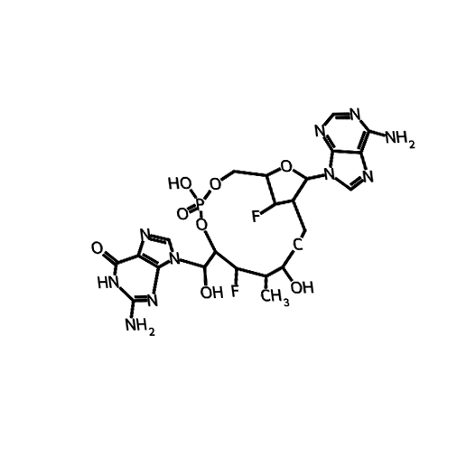 CC1C(O)CCC2C(F)C(COP(=O)(O)OC(C(O)n3cnc4c(=O)[nH]c(N)nc43)C1F)OC2n1cnc2c(N)ncnc21